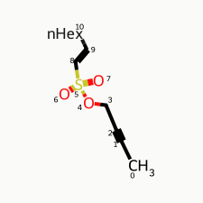 CC#CCOS(=O)(=O)/C=C/CCCCCC